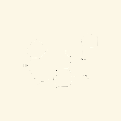 O=C(NC1CCCC1)c1cc(C2CC2NC2CCOCC2)ccc1P